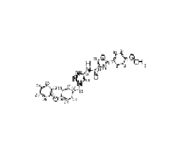 COc1ccc(-c2nc(C(=O)Nc3cn(Cc4ccc(Oc5ccccc5)cc4)nn3)co2)cc1